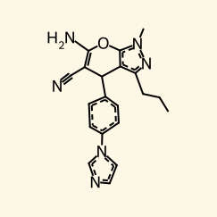 CCCc1nn(C)c2c1C(c1ccc(-n3ccnc3)cc1)C(C#N)=C(N)O2